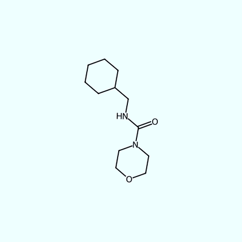 O=C(NCC1CCCCC1)N1CCOCC1